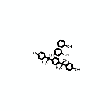 CC(C)(c1ccc(O)cc1)c1ccc(C(C)(C)c2ccc(O)cc2)cc1.Oc1ccccc1.Oc1ccccc1